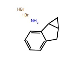 Br.Br.N.c1ccc2c(c1)CC1CC21